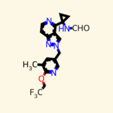 Cc1cc(Cn2cc3c(C4(NC=O)CC4)nccc3n2)cnc1OCC(F)(F)F